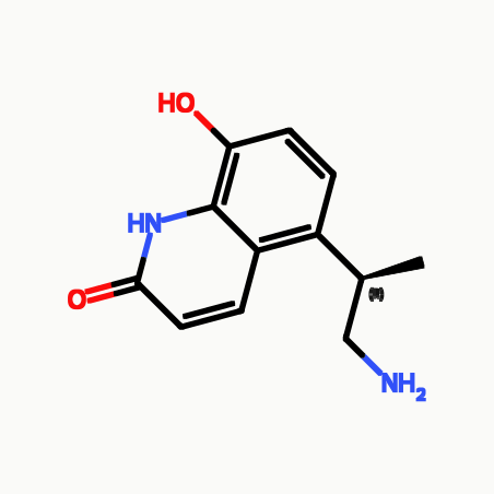 C[C@@H](CN)c1ccc(O)c2[nH]c(=O)ccc12